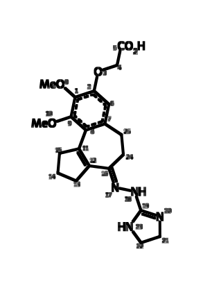 COc1c(OCC(=O)O)cc2c(c1OC)C1=C(CCC1)C(=NNC1=NCCN1)CC2